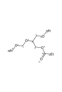 CCCOCOC(COCCC)COC(=O)CC